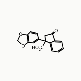 O=C1CC(C(=O)O)(c2ccc3c(c2)OCO3)c2ccccc21